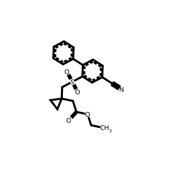 CCOC(=O)CC1(CS(=O)(=O)c2cc(C#N)ccc2-c2ccccc2)CC1